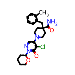 Cc1ccccc1CC1(C(N)=O)CCN(c2cnn(C3CCCCO3)c(=O)c2Cl)CC1